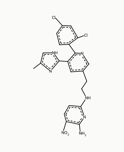 Cc1c[nH]c(-c2cc(CCNc3ccc([N+](=O)[O-])c(N)n3)[c]nc2-c2ccc(Cl)cc2Cl)n1